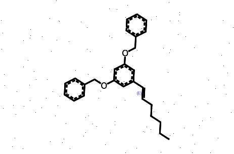 CCCCC/C=C/c1cc(OCc2ccccc2)cc(OCc2ccccc2)c1